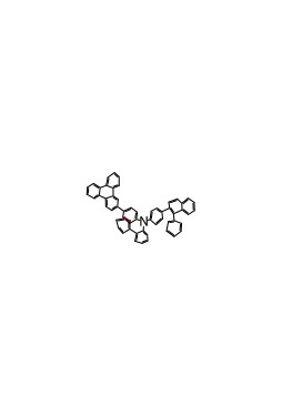 c1ccc(-c2ccccc2N(c2ccc(-c3ccc4c5ccccc5c5ccccc5c4c3)cc2)c2ccc(-c3ccc4ccccc4c3-c3ccccc3)cc2)cc1